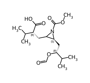 COC(=O)N1C(C[C@@H](C(=O)O)C(C)C)[C@@H]1C[C@@H](OC=O)C(C)C